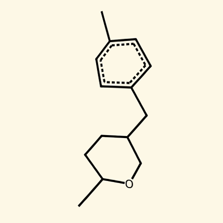 Cc1ccc(CC2CCC(C)OC2)cc1